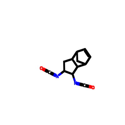 O=C=NC1CC2C3C=CC(C3)C2C1N=C=O